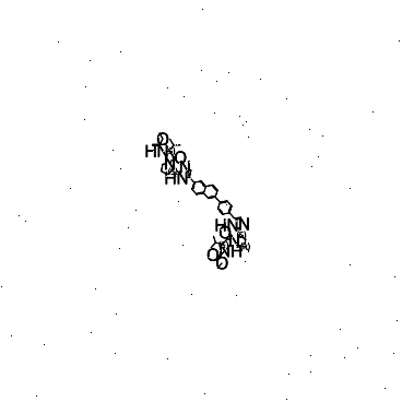 C=C(N[C@H](C(=O)N1CCC[C@H]1c1ncc(-c2ccc3cc(-c4ccc(-c5cnc([C@@H]6C[C@@H](C)CN6C(=O)[C@@H](NC(=O)OC)C(C)C)[nH]5)cc4)ccc3c2)[nH]1)C(C)C)OC